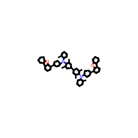 Cc1ccccc1N(c1ccc(-c2cccc3c2oc2ccccc23)cc1)c1c(C)cc(-c2cc(C)c(N(c3ccc(-c4cccc5c4oc4ccccc45)cc3)c3ccccc3C)c(C)c2)cc1C